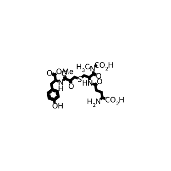 COC(=O)C(Cc1ccc(O)cc1)NC(=O)C(=O)CSCC(NC(=O)CCC(N)C(=O)O)C(=O)N(C)C(=O)O